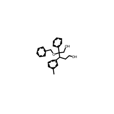 Cc1cccc(C(CCO)C(CO)(OCc2ccccc2)c2ccccc2)c1